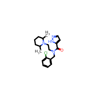 CC1CCCC(C)N1CCN(Cc1ccccc1Cl)C(=O)c1ccn[nH]1